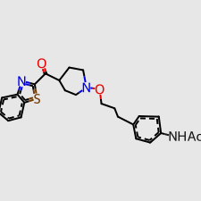 CC(=O)Nc1ccc(CCCON2CCC(C(=O)c3nc4ccccc4s3)CC2)cc1